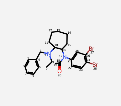 CCN(Cc1ccccc1)C1CCCCCC1N(C(C)=O)c1ccc(Br)c(Br)c1